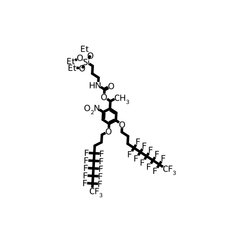 CCO[Si](CCCNC(=O)OC(C)c1cc(OCCCC(F)(F)C(F)(F)C(F)(F)C(F)(F)C(F)(F)C(F)(F)F)c(OCCCC(F)(F)C(F)(F)C(F)(F)C(F)(F)C(F)(F)C(F)(F)F)cc1[N+](=O)[O-])(OCC)OCC